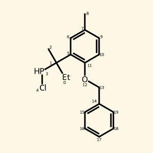 CCC(C)(PCl)c1cc(C)ccc1OCc1ccccc1